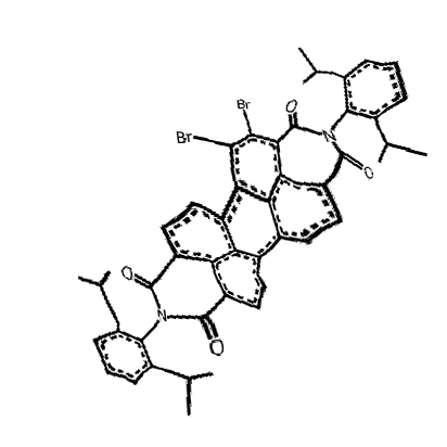 CC(C)c1cccc(C(C)C)c1N1C(=O)c2ccc3c4ccc5c6c(c(Br)c(Br)c(c7ccc(c2c37)C1=O)c64)C(=O)N(c1c(C(C)C)cccc1C(C)C)C5=O